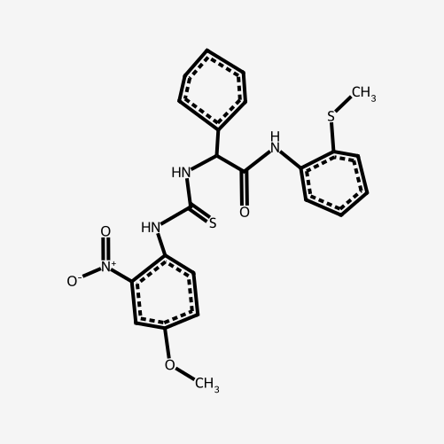 COc1ccc(NC(=S)NC(C(=O)Nc2ccccc2SC)c2ccccc2)c([N+](=O)[O-])c1